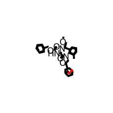 COCC1=N[C@H](NC(=O)OCc2ccccc2)C(=O)N(CC(=O)N2CC3CCC(CC3)C2)c2c(C)cccc21